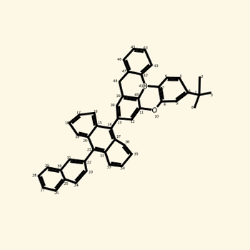 CC(C)(C)c1ccc2c(c1)Oc1cc(-c3c4ccccc4c(-c4ccc5ccccc5c4)c4ccccc34)cc3c1B2c1ccccc1C3